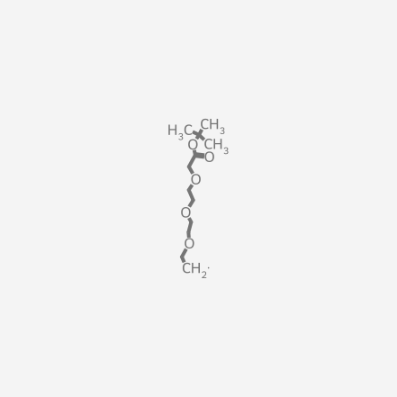 [CH2]COCCOCCOCC(=O)OC(C)(C)C